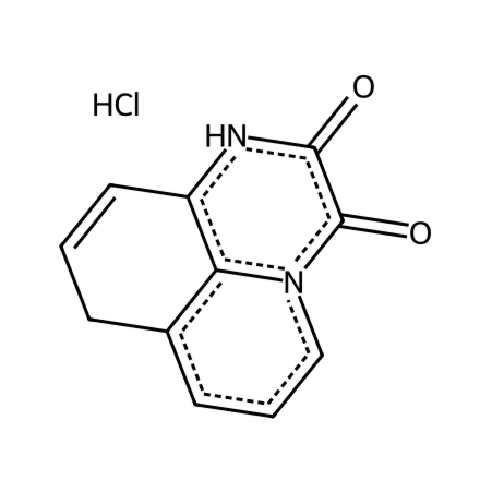 Cl.O=c1[nH]c2c3c(cccn3c1=O)CC=C2